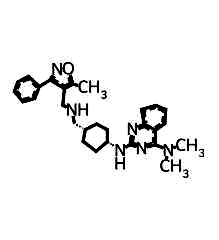 Cc1onc(-c2ccccc2)c1CNC[C@H]1CC[C@@H](Nc2nc(N(C)C)c3ccccc3n2)CC1